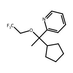 CC(OCC(F)(F)F)(c1ccccn1)C1CCCC1